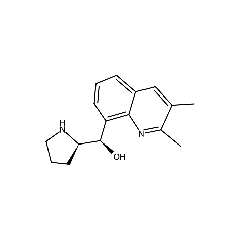 Cc1cc2cccc([C@@H](O)[C@H]3CCCN3)c2nc1C